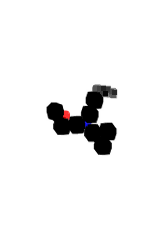 COc1ccc(-c2ccc(N(c3ccc(-c4cccc5c4oc4ccccc45)cc3)c3ccc4c5ccccc5c5ccccc5c4c3)cc2)cc1